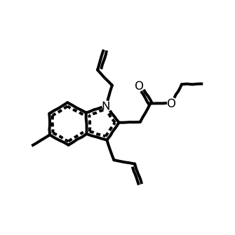 C=CCc1c(CC(=O)OCC)n(CC=C)c2ccc(C)cc12